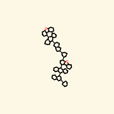 c1ccc(-c2cc(-c3c4ccccc4c(-c4ccc(-c5cccc(-c6ccc7cc(-c8c9ccccc9c(-c9cccc%10oc%11ccccc%11c9%10)c9ccccc89)ccc7c6)c5)c5oc6ccccc6c45)c4ccccc34)c3ccccc3c2)cc1